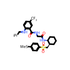 CSc1ccc(S(=O)(=O)C[C@@H]2CCCC[C@@H]2NC(=O)CNC(=O)c2cc(C(F)(F)F)ccc2NCC(C)C)cc1